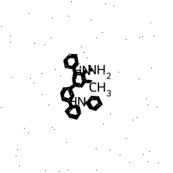 CCc1cc(-c2cccc(-c3ccccc3Nc3ccccc3)c2)cc(-c2ccccc2)c1NN